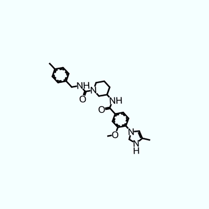 COc1cc(C(=O)NC2CCCN(C(=O)NCc3ccc(C)cc3)C2)ccc1N1C=C(C)NC1